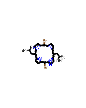 CCCC(CC)Cc1c2nc(c(Br)c3ccc([nH]3)c(CC(CC)CCC)c3nc(c(Br)c4ccc1[nH]4)C=C3)C=C2